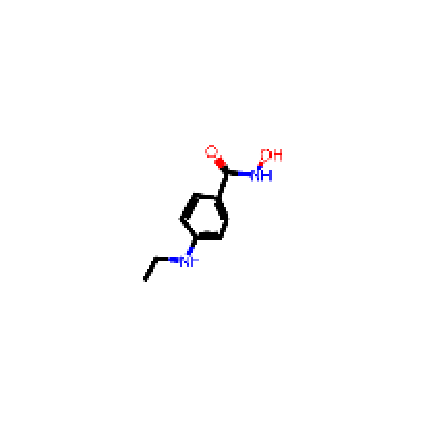 CCNc1ccc(C(=O)NO)cc1